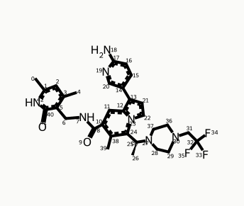 Cc1cc(C)c(CNC(=O)c2cc3c(-c4ccc(N)nc4)ccn3c([C@H](C)N3CCN(CC(F)(F)F)CC3)c2C)c(=O)[nH]1